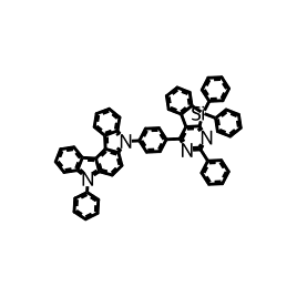 c1ccc(-c2nc(-c3ccc(-n4c5ccccc5c5c6c7ccccc7n(-c7ccccc7)c6ccc54)cc3)c3c(n2)[Si](c2ccccc2)(c2ccccc2)c2ccccc2-3)cc1